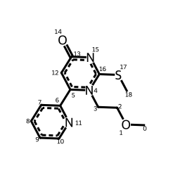 COCCn1c(-c2ccccn2)cc(=O)nc1SC